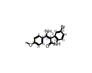 COc1ccc(/C(N)=C2\C(=O)Nc3ccc(Br)cc32)cc1